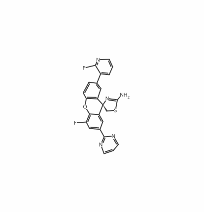 NC1=N[C@@]2(CS1)c1cc(-c3cccnc3F)ccc1Oc1c(F)cc(-c3ncccn3)cc12